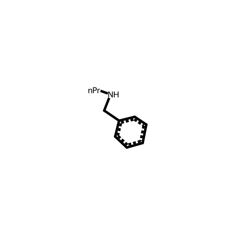 CCCNCc1ccccc1